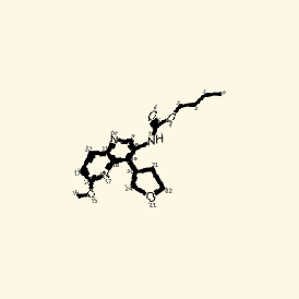 CCCCOC(=O)Nc1cnc2ccc(OC)nc2c1C1CCOC1